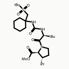 COC(=O)[C@@H]1[C@@H](C(C)C)CCN1C(=O)[C@@H](NC(=O)NC1(CS(=O)(=O)C(C)(C)C)CCCCC1)C(C)(C)C